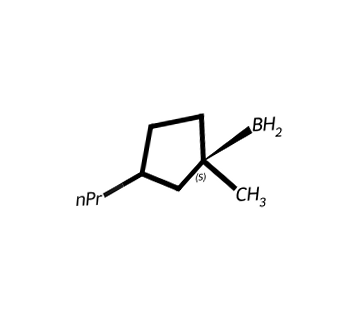 B[C@]1(C)CCC(CCC)C1